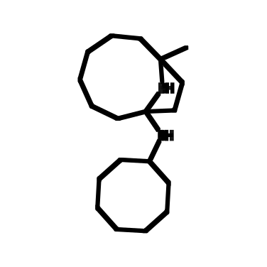 CC12BC(BC3CCCCCCC3)(CCCCCC1)CC2